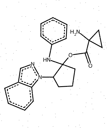 NC1(C(=O)OC2(Nc3ccccc3)CCCC2n2ncc3ccccc32)CC1